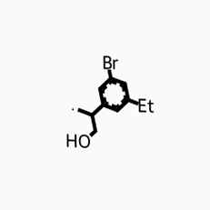 [CH2]C(CO)c1cc(Br)cc(CC)c1